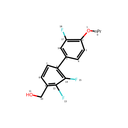 CCCOc1ccc(-c2ccc(CO)c(F)c2F)cc1F